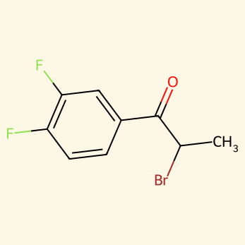 CC(Br)C(=O)c1ccc(F)c(F)c1